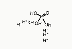 O=P(O)(O)O.[H+].[H+].[H+].[H+].[H+].[KH]